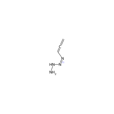 C=C=C/N=N\NN